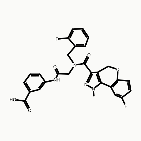 Cn1nc(C(=O)N(CC(=O)Nc2cccc(C(=O)O)c2)Cc2ccccc2F)c2c1-c1cc(F)ccc1OC2